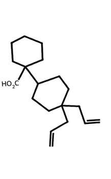 C=CCC1(CC=C)CCC(C2(C(=O)O)CCCCC2)CC1